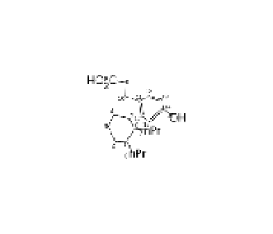 CCCC1CCCCC1CCC.O=C(O)CCc1ccc(O)cc1